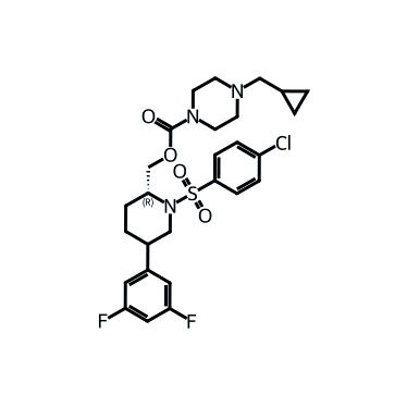 O=C(OC[C@H]1CCC(c2cc(F)cc(F)c2)CN1S(=O)(=O)c1ccc(Cl)cc1)N1CCN(CC2CC2)CC1